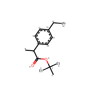 CCC(C)(CC)OC(=O)C(C)c1ccc(CC(C)C)cc1